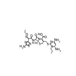 CCCN1C(SCC2=C(C(=O)O)N3C(=O)C(NC(=O)/C(=N\OCC)c4nsc(N)n4)[C@@H]3SC2)=NC(N)=CC1N